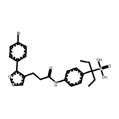 CCC(CC)(c1ccc(NC(=O)CCc2cnoc2-c2ccc(Br)cc2)cc1)P(=O)(O)O